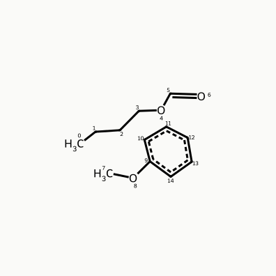 CCCCOC=O.COc1ccccc1